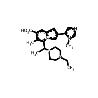 Cc1c(C(=O)O)cc2cc(-c3cncn3C)cn2c1C(C)N1CCN(CC(F)(F)F)CC1